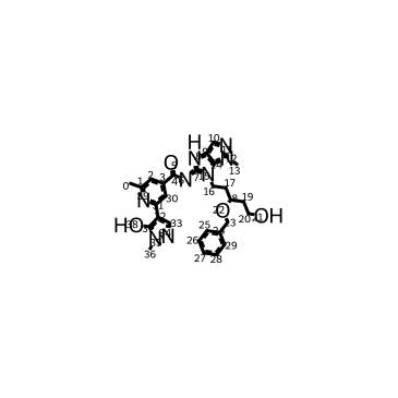 Cc1cc(C(=O)/N=c2\[nH]c3cnn(C)c3n2CCC(CCO)OCc2ccccc2)cc(-c2cnn(C)c2O)n1